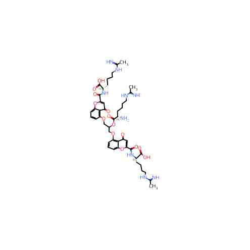 CC(=N)NCCCC[C@H](NC(=O)c1cc(=O)c2c(OCC(COc3cccc4oc(C(=O)N[C@@H](CCCCNC(C)=N)C(=O)O)cc(=O)c34)OC(=O)[C@@H](N)CCCCNC(C)=N)cccc2o1)C(=O)O